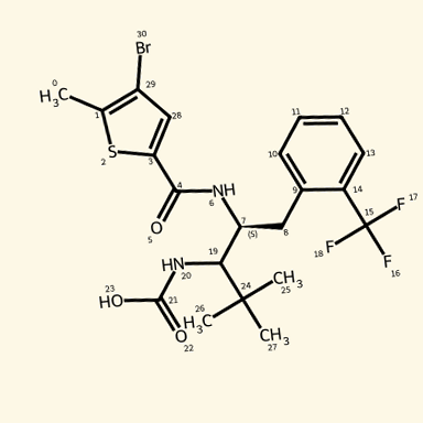 Cc1sc(C(=O)N[C@@H](Cc2ccccc2C(F)(F)F)C(NC(=O)O)C(C)(C)C)cc1Br